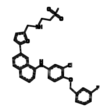 CS(=O)(=O)CCNCc1ccc(-c2ccc3cccc(Nc4ccc(OCc5cccc(F)c5)c(Cl)c4)c3c2)o1